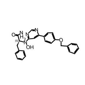 NC(=O)[C@H](Cc1ccccc1)N(O)c1cc(-c2ccc(OCc3ccccc3)cc2)ncn1